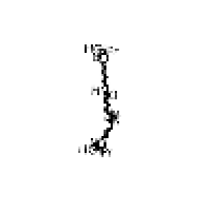 CC(C)P(=O)(O)OCCCCCCNC(=O)CCCn1cc(CCCCOP(=O)(O)C(C)C)nn1